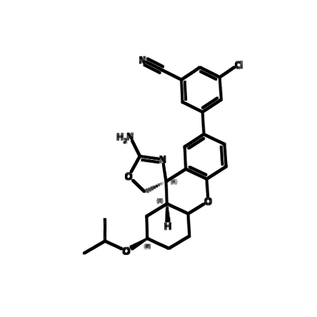 CC(C)O[C@@H]1CCC2Oc3ccc(-c4cc(Cl)cc(C#N)c4)cc3[C@@]3(COC(N)=N3)[C@H]2C1